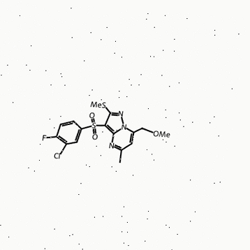 COCc1cc(C)nc2c(S(=O)(=O)c3ccc(F)c(Cl)c3)c(SC)nn12